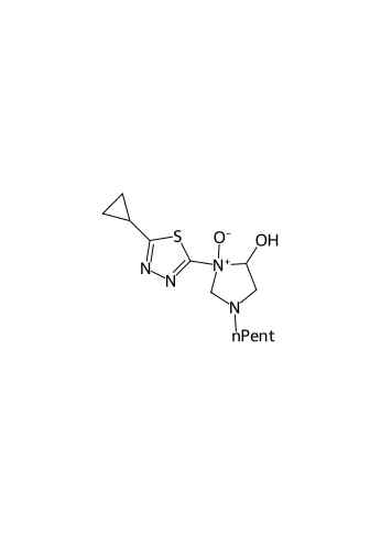 CCCCCN1CC(O)[N+]([O-])(c2nnc(C3CC3)s2)C1